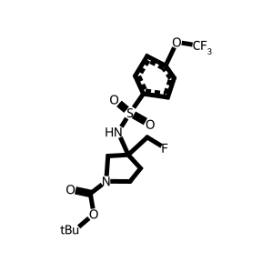 CC(C)(C)OC(=O)N1CCC(CF)(NS(=O)(=O)c2ccc(OC(F)(F)F)cc2)C1